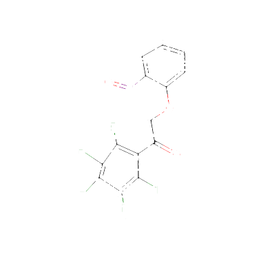 O=Pc1ccccc1OCC(=O)c1c(F)c(F)c(F)c(F)c1F